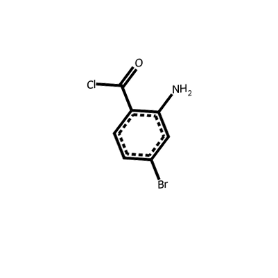 Nc1cc(Br)ccc1C(=O)Cl